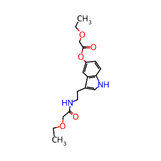 CCOCC(=O)NCCc1c[nH]c2ccc(OC(=O)COCC)cc12